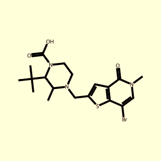 CC1C(C(C)(C)C)N(C(=O)O)CCN1Cc1cc2c(=O)n(C)cc(Br)c2s1